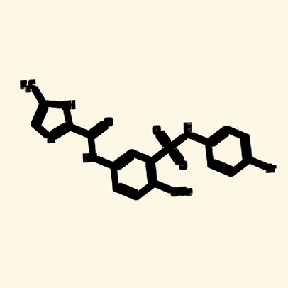 COc1ccc(NC(=O)c2ncc(C(F)(F)F)[nH]2)cc1S(=O)(=O)Nc1ccc(Br)cc1